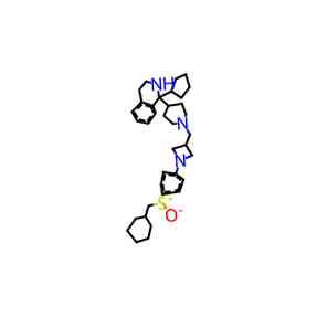 [O-][S+](CC1CCCCC1)c1ccc(N2CC(CN3CCC(C4(C5CCCC5)NCCc5ccccc54)CC3)C2)cc1